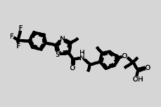 Cc1cc(OC(C)(C)C(=O)O)ccc1C(C)NC(=O)c1sc(-c2ccc(C(F)(F)F)cc2)nc1C